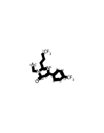 CC(=O)Cn1c(CCCC(F)(F)F)nc(-c2ccc(C(F)(F)F)cc2)cc1=O